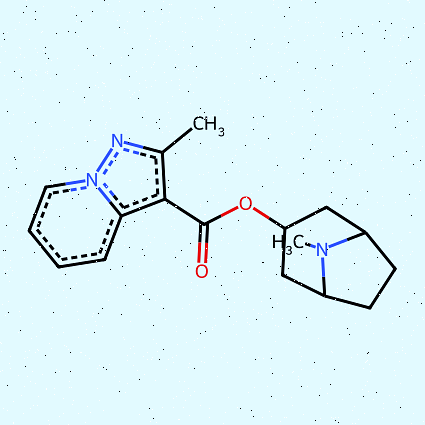 Cc1nn2ccccc2c1C(=O)OC1CC2CCC(C1)N2C